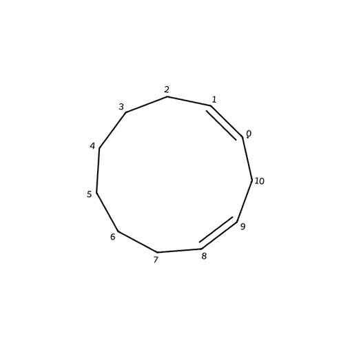 [C]1=C\CCCCCC/C=C\C/1